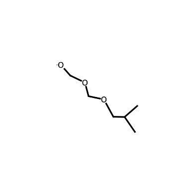 CC(C)COCOC[O]